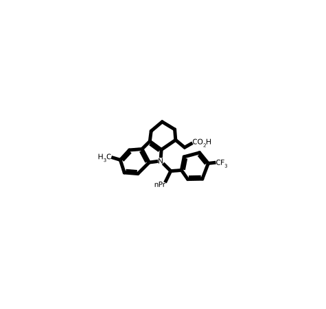 CCCC(c1ccc(C(F)(F)F)cc1)n1c2c(c3cc(C)ccc31)CCCC2CC(=O)O